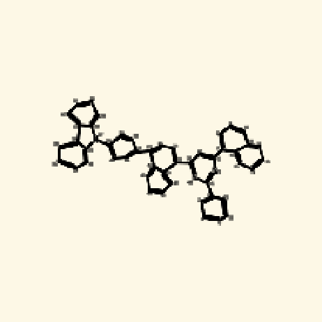 c1ccc(-c2nc(-c3cccc4ccccc34)cc(-c3ccc(-c4ccc(-n5c6ccccc6c6ccccc65)cc4)c4ccccc34)n2)cc1